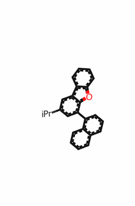 CC(C)c1cc(-c2cccc3ccccc23)c2oc3ccccc3c2c1